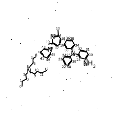 CCCCN(CCCC)CCCC.Cc1cccc(C)n1.N.c1ccc(N(c2ccccc2)c2ccccc2)cc1.c1ccncc1